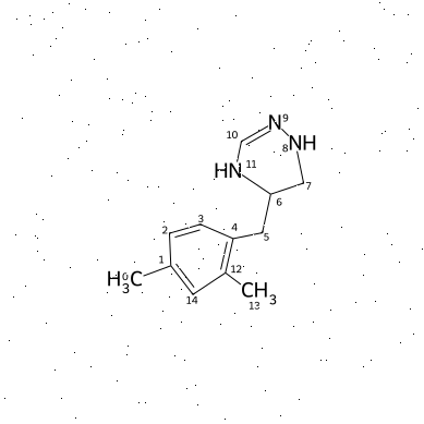 Cc1ccc(CC2CNN=CN2)c(C)c1